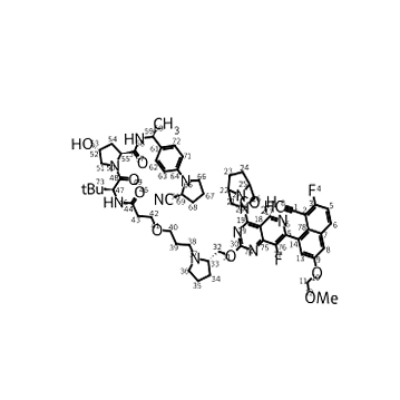 C#Cc1c(F)ccc2cc(OCOC)cc(-c3ncc4c(N5CC6CCC(C5)N6C(=O)O)nc(OC[C@@H]5CCCN5CCCOCCC(=O)N[C@H](C(=O)N5C[C@H](O)C[C@H]5C(=O)N[C@@H](C)c5ccc(N6CCC[C@H]6C#N)cc5)C(C)(C)C)nc4c3F)c12